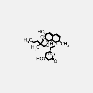 CCCC(C)(CC)CO[C@H]1C[C@H](O)C=C2C=C[C@@H](C)[C@H](CC[C@@H]3C[C@@H](O)CC(=O)O3)[C@H]21